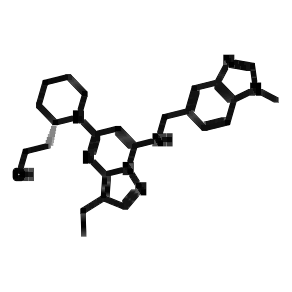 CCc1cnn2c(NCc3ccc4c(c3)ncn4C)cc(N3CCCC[C@H]3CCO)nc12